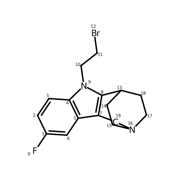 Fc1ccc2c(c1)c1c(n2CCBr)C2CCN(CC2)C1